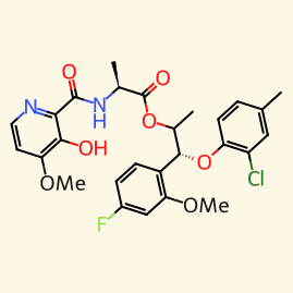 COc1cc(F)ccc1[C@@H](Oc1ccc(C)cc1Cl)C(C)OC(=O)[C@H](C)NC(=O)c1nccc(OC)c1O